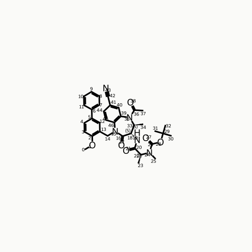 COc1ccc(-c2ccccc2)cc1CN1C(=O)[C@@H](NC(=O)[C@H](C)N(C)C(=O)OC(C)(C)C)[C@H](C)N(C(C)=O)c2cc(C#N)ccc21